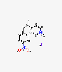 CC(Cc1ccc([N+](=O)[O-])cc1)c1cc[n+](C)cc1.[I-]